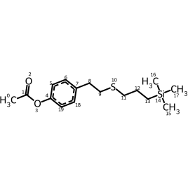 CC(=O)Oc1ccc(CCSCCC[Si](C)(C)C)cc1